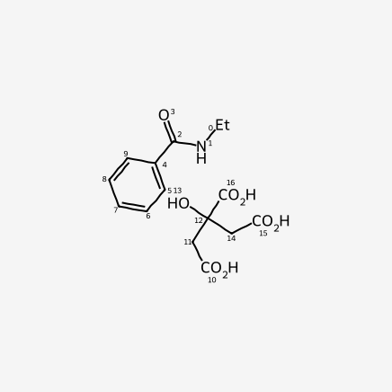 CCNC(=O)c1ccccc1.O=C(O)CC(O)(CC(=O)O)C(=O)O